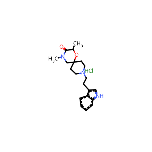 CC1OC2(CCN(CCc3c[nH]c4ccccc34)CC2)CN(C)C1=O.Cl